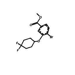 COC(=O)c1ccc(Br)c(OC2CCC(F)(F)CC2)c1